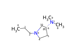 CC[CH]N1CC[C@@H](N(C)C)C1